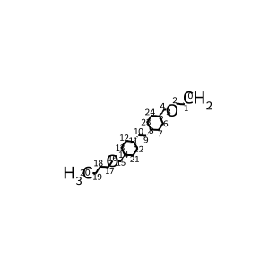 C=CCOC[C@H]1CC[C@H](CC[C@H]2CC[C@H](COCCCC)CC2)CC1